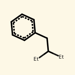 [CH2]CC(CC)Cc1ccccc1